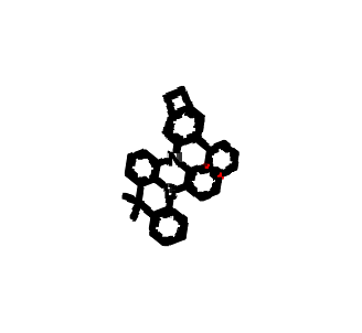 CC1(C)c2ccccc2B2c3ccccc3N(c3cc4c(cc3-c3ccccc3)CC4)c3cccc1c32